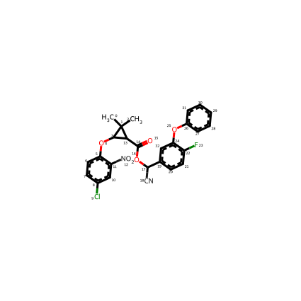 CC1(C)C(Oc2ccc(Cl)cc2[N+](=O)[O-])C1C(=O)OC(C#N)c1ccc(F)c(Oc2ccccc2)c1